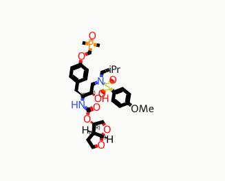 COc1ccc(S(=O)(=O)N(CC(C)C)C[C@@H](O)[C@H](Cc2ccc(OCP(C)(C)=O)cc2)NC(=O)O[C@H]2CO[C@H]3OCC[C@H]32)cc1